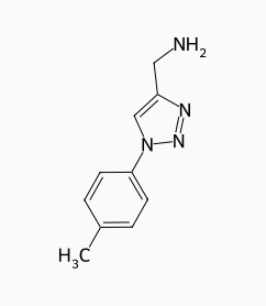 Cc1ccc(-n2cc(CN)nn2)cc1